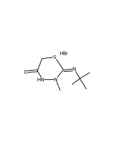 Br.CN1NC(=O)CSC1=NC(C)(C)C